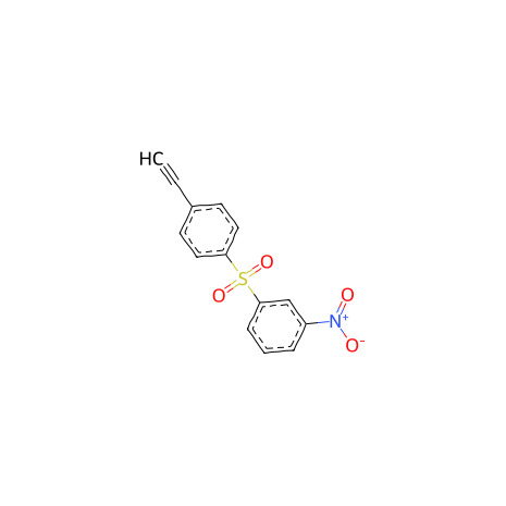 C#Cc1ccc(S(=O)(=O)c2cccc([N+](=O)[O-])c2)cc1